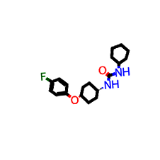 O=C(NC1CCCCC1)N[C@H]1CC[C@@H](Oc2ccc(F)cc2)CC1